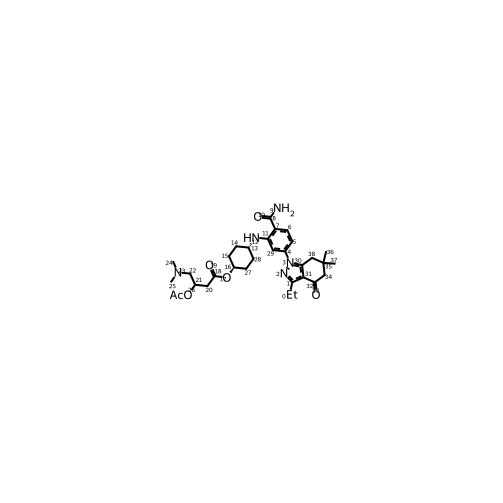 CCc1nn(-c2ccc(C(N)=O)c(N[C@H]3CC[C@H](OC(=O)CC(CN(C)C)OC(C)=O)CC3)c2)c2c1C(=O)CC(C)(C)C2